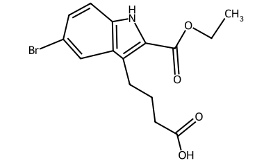 CCOC(=O)c1[nH]c2ccc(Br)cc2c1CCCC(=O)O